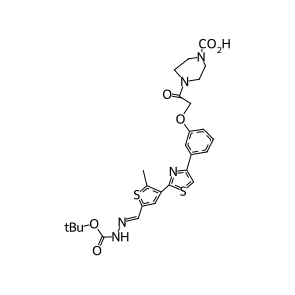 Cc1sc(C=NNC(=O)OC(C)(C)C)cc1-c1nc(-c2cccc(OCC(=O)N3CCN(C(=O)O)CC3)c2)cs1